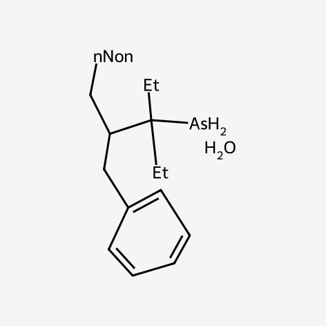 CCCCCCCCCCC(Cc1ccccc1)C([AsH2])(CC)CC.O